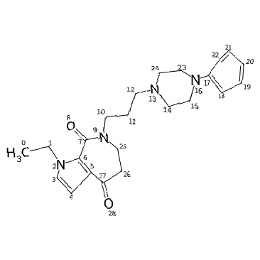 CCn1ccc2c1C(=O)N(CCCN1CCN(c3ccccc3)CC1)CCC2=O